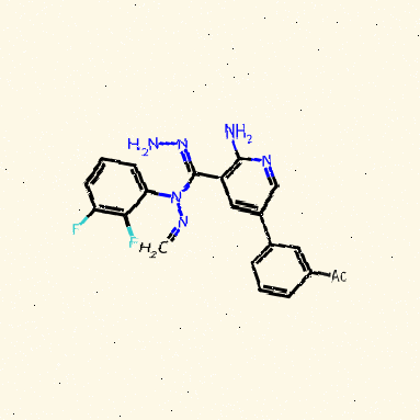 C=NN(/C(=N\N)c1cc(-c2cccc(C(C)=O)c2)cnc1N)c1cccc(F)c1F